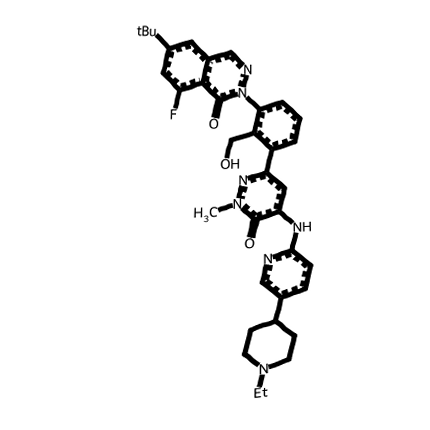 CCN1CCC(c2ccc(Nc3cc(-c4cccc(-n5ncc6cc(C(C)(C)C)cc(F)c6c5=O)c4CO)nn(C)c3=O)nc2)CC1